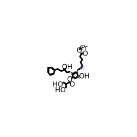 CC(C)OC(=O)CCC/C=C\C[C@@H]1[C@@H](CC[C@@H](O)CCc2ccccc2)[C@H](OC(=O)C(CO)CO)C[C@@H]1O